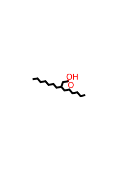 CCCCCCCC(CCCCCC)CC(=O)O